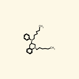 CCCCCCN1CC(N(CCCCCC)c2ccccc2)Cc2ccccc21